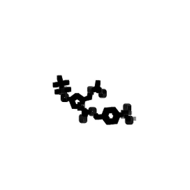 CC(=O)SC[C@@H]1C[C@@H](O[Si](C)(C)C(C)(C)C)CN1C(=O)OCc1ccc([N+](=O)[O-])cc1